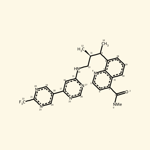 CNC(=O)c1ccnc2c(C(C)[C@H](C)CNc3cc(-c4cnc(C(F)(F)F)nc4)ncn3)cccc12